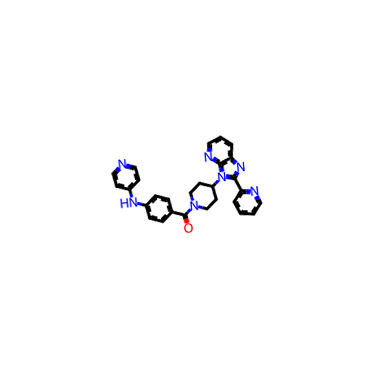 O=C(c1ccc(Nc2ccncc2)cc1)N1CCC(n2c(-c3ccccn3)nc3cccnc32)CC1